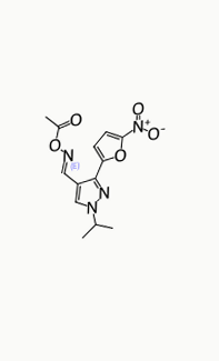 CC(=O)O/N=C/c1cn(C(C)C)nc1-c1ccc([N+](=O)[O-])o1